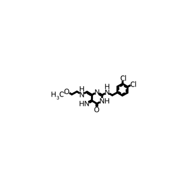 COCCN/C=C1/N=C(NCc2ccc(Cl)c(Cl)c2)NC(=O)C1=N